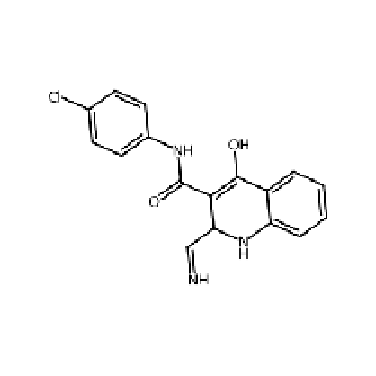 N=CC1Nc2ccccc2C(O)=C1C(=O)Nc1ccc(Cl)cc1